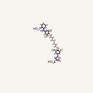 Cc1oc(-c2cc(Cl)c(OCCCCCCCOc3c(Cl)cc(Nc4ccccc4C(=O)O)cc3Cl)c(Cl)c2)nc1C(=O)O